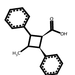 CC1C(c2ccccc2)[C@@H](C(=O)O)[C@H]1c1ccccc1